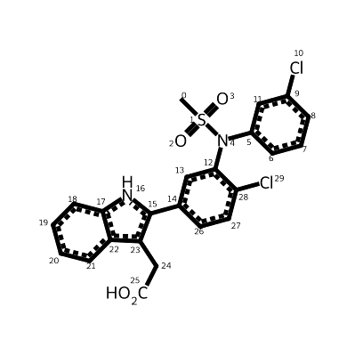 CS(=O)(=O)N(c1cccc(Cl)c1)c1cc(-c2[nH]c3ccccc3c2CC(=O)O)ccc1Cl